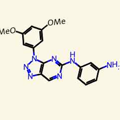 COc1cc(OC)cc(-n2nnc3cnc(Nc4cccc(N)c4)nc32)c1